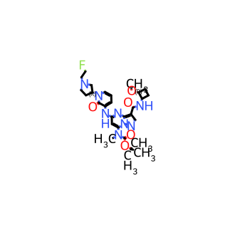 CO[C@@H]1CCC1NC(=O)c1cnn2c(N(C)C(=O)OC(C)(C)C)cc(Nc3cccn([C@@H]4CCN(CCF)C4)c3=O)nc12